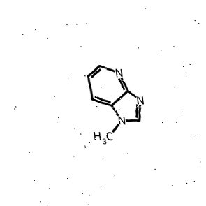 Cn1cnc2nc[c]cc21